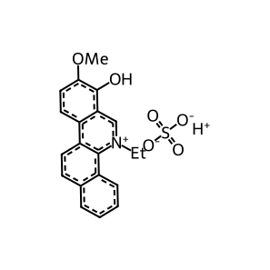 CC[n+]1cc2c(O)c(OC)ccc2c2ccc3ccccc3c21.O=S(=O)([O-])[O-].[H+]